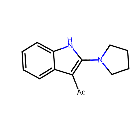 CC(=O)c1c(N2CCCC2)[nH]c2ccccc12